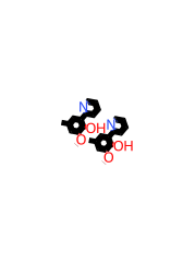 COc1cc(C)cc(-c2ccccn2)c1O.COc1cc(C)cc(-c2ccccn2)c1O